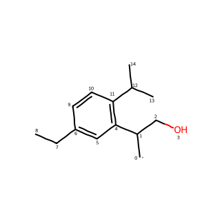 [CH2]C(CO)c1cc(CC)ccc1C(C)C